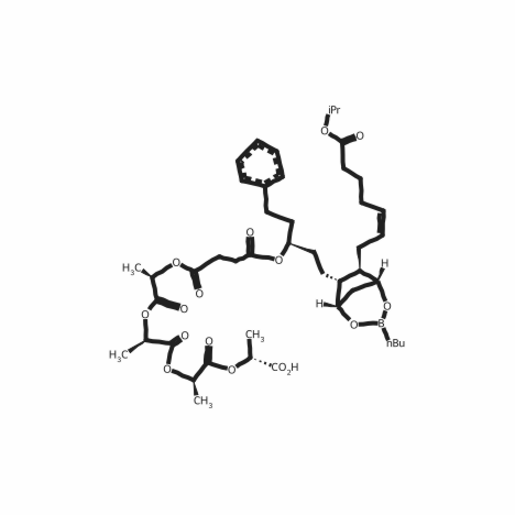 CCCCB1O[C@H]2C[C@@H](O1)[C@H](C/C=C\CCCC(=O)OC(C)C)[C@H]2CC[C@H](CCc1ccccc1)OC(=O)CCC(=O)O[C@H](C)C(=O)O[C@H](C)C(=O)O[C@H](C)C(=O)O[C@H](C)C(=O)O